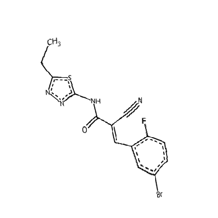 CCc1nnc(NC(=O)/C(C#N)=C/c2cc(Br)ccc2F)s1